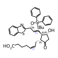 CC(C)(C)[Si](O[C@H](/C=C/[C@H]1[C@H](O)CC(=O)[C@@H]1C/C=C\CCCC(=O)O)c1nc2ccccc2s1)(c1ccccc1)c1ccccc1